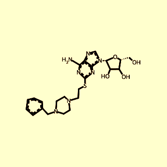 Nc1nc(SCCN2CCN(Cc3ccccc3)CC2)nc2c1ncn2[C@@H]1O[C@H](CO)C(O)C1O